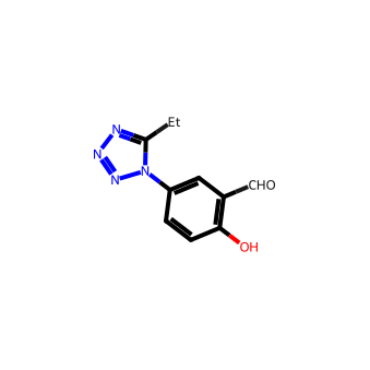 CCc1nnnn1-c1ccc(O)c(C=O)c1